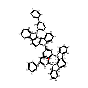 c1ccc(-c2cccc(-n3c4ccccc4c4ccc5c(c6ccccc6n5-c5cccc(-n6c7ccccc7c7ccc8c9ccccc9n(-c9cccc(-c%10ccccc%10)n9)c8c76)c5)c43)n2)cc1